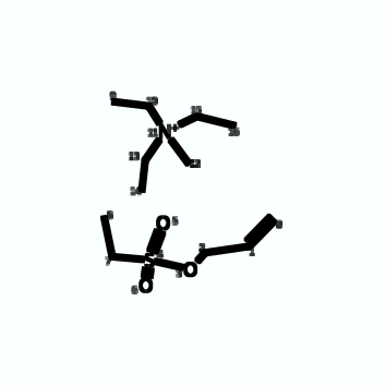 C=CCOS(=O)(=O)CC.CC[N+](C)(CC)CC